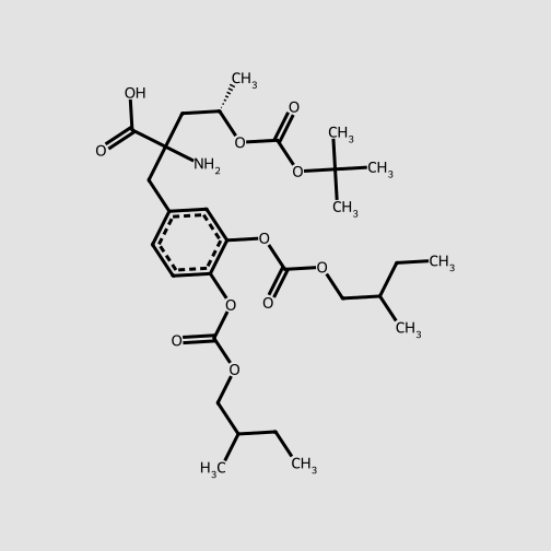 CCC(C)COC(=O)Oc1ccc(CC(N)(C[C@H](C)OC(=O)OC(C)(C)C)C(=O)O)cc1OC(=O)OCC(C)CC